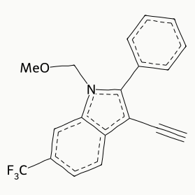 C#Cc1c(-c2ccccc2)n(COC)c2cc(C(F)(F)F)ccc12